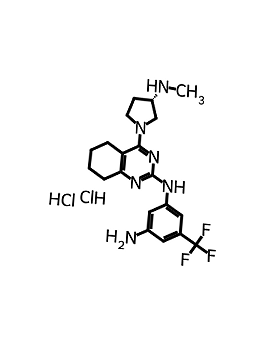 CN[C@H]1CCN(c2nc(Nc3cc(N)cc(C(F)(F)F)c3)nc3c2CCCC3)C1.Cl.Cl